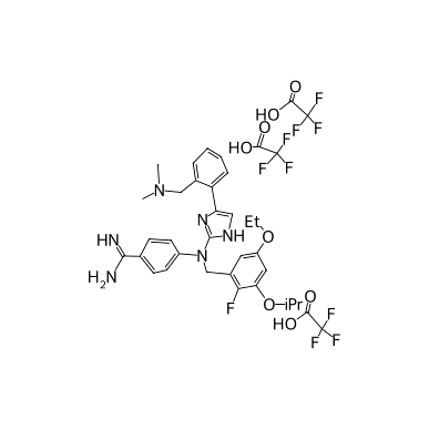 CCOc1cc(CN(c2ccc(C(=N)N)cc2)c2nc(-c3ccccc3CN(C)C)c[nH]2)c(F)c(OC(C)C)c1.O=C(O)C(F)(F)F.O=C(O)C(F)(F)F.O=C(O)C(F)(F)F